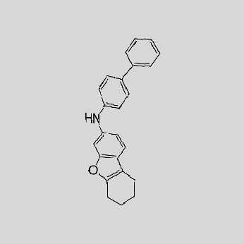 c1ccc(-c2ccc(Nc3ccc4c5c(oc4c3)CCCC5)cc2)cc1